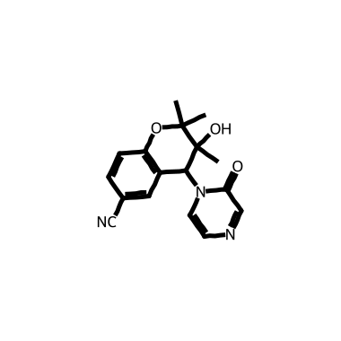 CC1(C)Oc2ccc(C#N)cc2C(n2ccncc2=O)C1(C)O